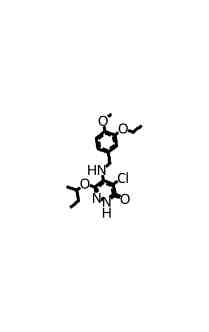 CCOc1cc(CNc2c(OC(C)CC)n[nH]c(=O)c2Cl)ccc1OC